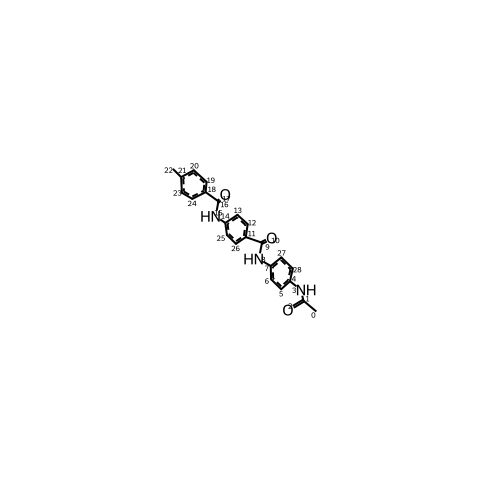 CC(=O)Nc1ccc(NC(=O)c2ccc(NC(=O)c3ccc(C)cc3)cc2)cc1